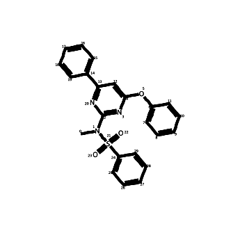 CN(c1nc(Oc2ccccc2)cc(-c2ccccc2)n1)S(=O)(=O)c1ccccc1